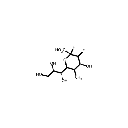 CC1C([C@H](O)[C@H](O)CO)O[C@@](F)(C(=O)O)C(F)[C@H]1O